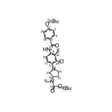 CCCCOc1ccc(C(=O)Nc2ccc(N3CCC(N(C)C(=O)OC(C)(C)C)C3)c(Cl)c2F)cc1